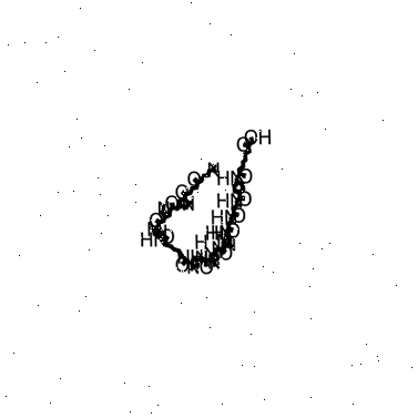 CN(C)CCCCC(=O)CCCC(=O)c1cc(CC(=O)c2cc(CC(=O)c3nc(NC(=O)CCCCCNC(=O)c4cc(NC(=O)c5nc(NC(=O)c6nc(NC(=O)CCNC(=O)CCNC(=O)c7ccc(NC(=O)CCCCCCC(=O)CO)cc7)cn6C)cn5C)cn4C)cn3C)cn2C)cn1C